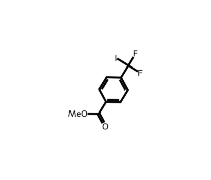 COC(=O)c1ccc(C(F)(F)I)cc1